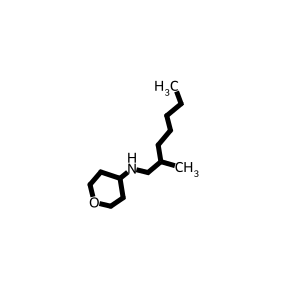 CCCCCC(C)CNC1CCOCC1